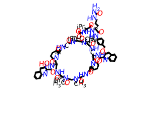 CC(C)[C@H](NC(=O)OC(C)(C)C)C(=O)N[C@@H](CCCNC(N)=O)C(=O)Nc1ccc(COc2cc3ccccc3nc2C(=O)N[C@@H]2CNC(=O)[C@H](C(C)C)N(C)C(=O)CN(C)C(=O)CNC(=O)[C@@H]3CCCCN3C(=O)[C@H](NC(=O)c3nc4ccccc4cc3O)CNC(=O)[C@H](C(C)C)N(C)C(=O)CN(C)C(=O)CNC(=O)[C@@H]3CCCCN3C2=O)cc1